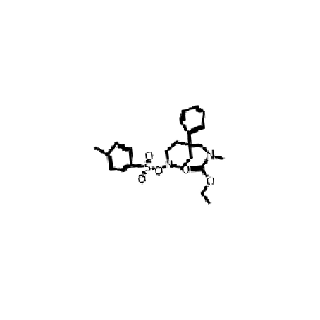 CCOC(=O)N(C)CC1(c2ccccc2)CCN(OS(=O)(=O)c2ccc(C)cc2)CC1